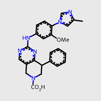 COc1cc(Nc2ncc3c(n2)C(c2ccccc2)CN(C(=O)O)C3)ccc1-n1cnc(C)c1